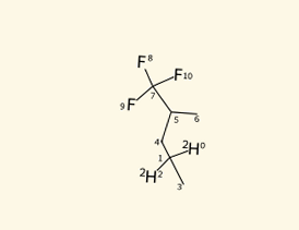 [2H]C([2H])(C)CC(C)C(F)(F)F